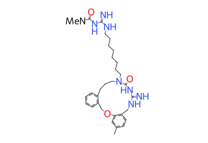 CNC(=O)NC(=N)NCCCCCCCCN1CCCc2ccccc2COc2cc(C)ccc2CNC(=N)NC1=O